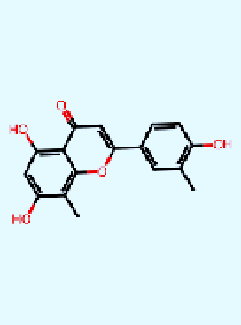 Cc1cc(-c2cc(=O)c3c(O)cc(O)c(C)c3o2)ccc1O